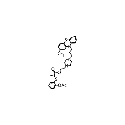 CC(=O)Oc1ccccc1SC(C)C(=O)OCCN1CCN(CCCN2c3ccccc3Sc3ccc(C(F)(F)F)cc32)CC1